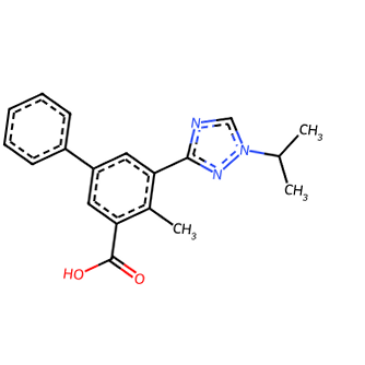 Cc1c(C(=O)O)cc(-c2ccccc2)cc1-c1ncn(C(C)C)n1